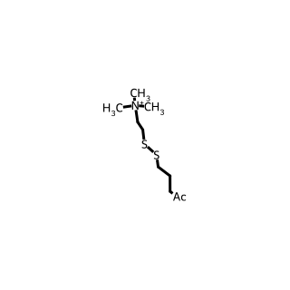 CC(=O)CCCSSCC[N+](C)(C)C